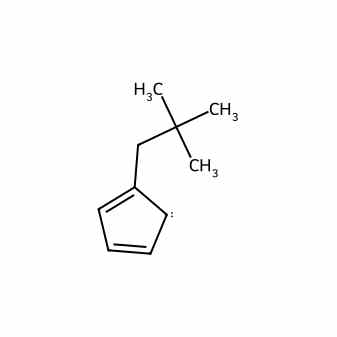 CC(C)(C)CC1=CC=C[C]1